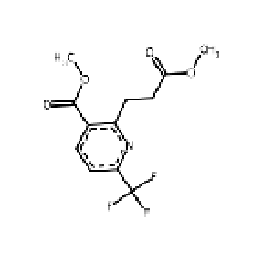 COC(=O)CCc1nc(C(F)(F)F)ccc1C(=O)OC